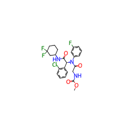 COC(=O)NCC(=O)N(c1cccc(F)c1)[C@H](C(=O)N[C@@H]1CCCC(F)(F)C1)c1ccccc1Cl